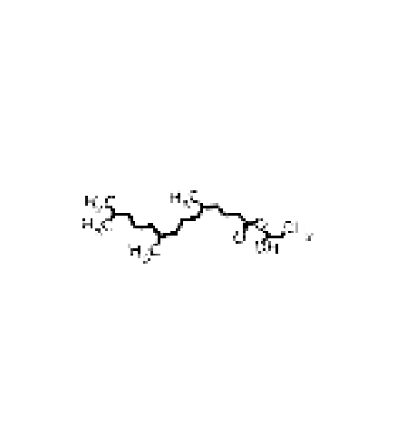 CCC(O)OC(=O)CCC=C(C)CCCC(C)CCCC(C)C